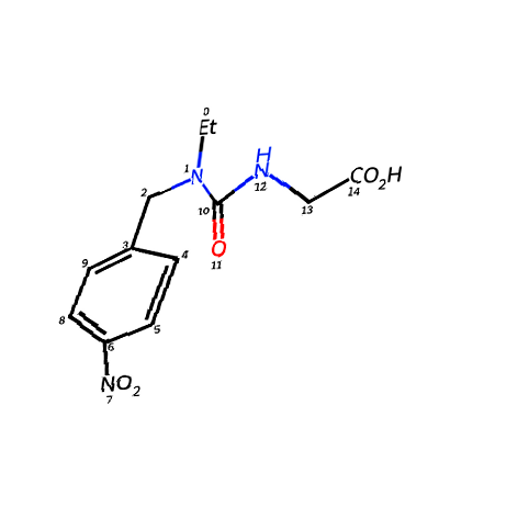 CCN(Cc1ccc([N+](=O)[O-])cc1)C(=O)NCC(=O)O